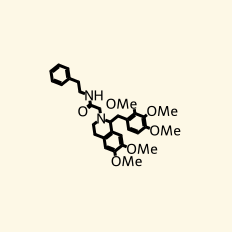 COc1cc2c(cc1OC)C(Cc1ccc(OC)c(OC)c1OC)N(CC(=O)NCCc1ccccc1)CC2